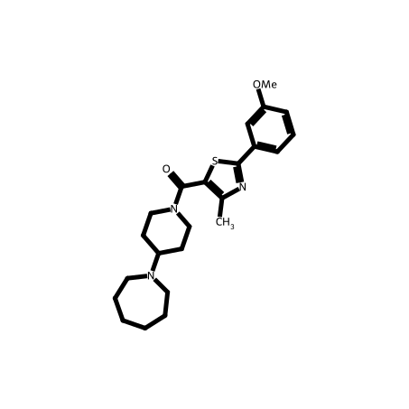 COc1cccc(-c2nc(C)c(C(=O)N3CCC(N4CCCCCC4)CC3)s2)c1